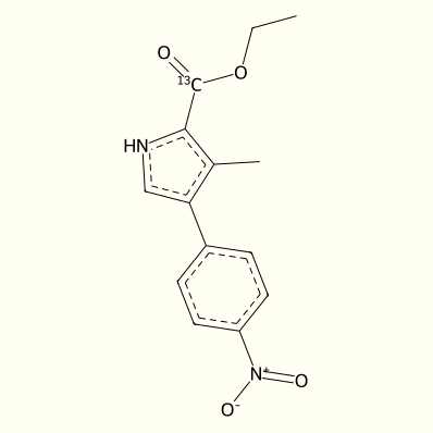 CCO[13C](=O)c1[nH]cc(-c2ccc([N+](=O)[O-])cc2)c1C